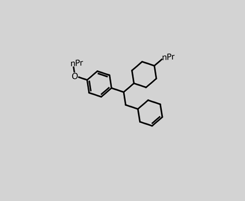 CCCOc1ccc(C(CC2CC=CCC2)C2CCC(CCC)CC2)cc1